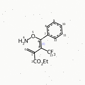 C=C(C(=O)OCC)/C(=C(\ON)c1ccccc1)C(F)(F)F